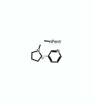 CCCCCC.CN1CCC[C@H]1c1cccnc1